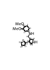 COc1ccc(NCc2c[nH]nc2-c2cccs2)cc1OC